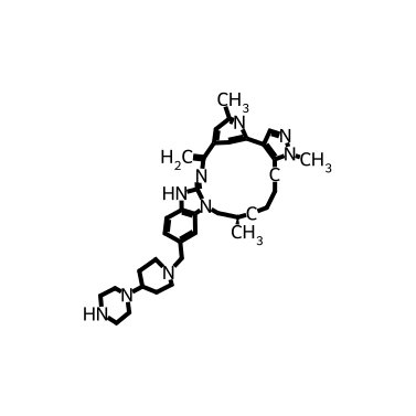 C=C1/N=C2\Nc3ccc(CN4CCC(N5CCNCC5)CC4)cc3N2C[C@H](C)CCCCc2c(cnn2C)-c2cc1cc(C)n2